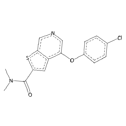 CN(C)C(=O)c1cc2c(Oc3ccc(Cl)cc3)cncc2s1